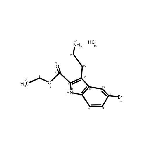 CCOC(=O)c1[nH]c2ccc(Br)cc2c1CCN.Cl